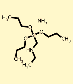 CCCO[Si](CNCC)(OCCC)OCCC.N